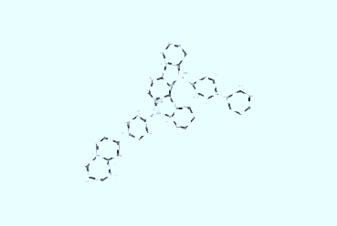 c1ccc(-c2ccc(-n3c4ccccc4c4ccc5c(c6ccccc6n5-c5ccc(-c6ccc7ccccc7c6)cc5)c43)cc2)cc1